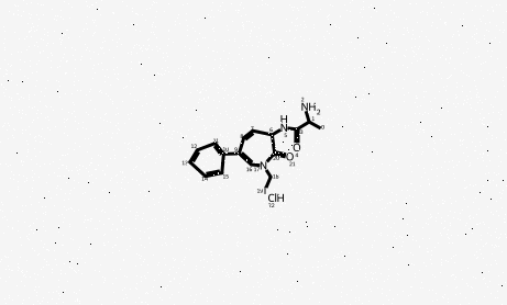 CC(N)C(=O)NC1C=CC(c2ccccc2)=CN(CI)C1=O.Cl